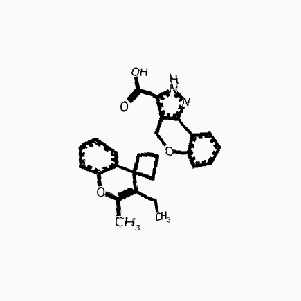 CCC1=C(C)Oc2ccccc2C12CCC2.O=C(O)c1[nH]nc2c1COc1ccccc1-2